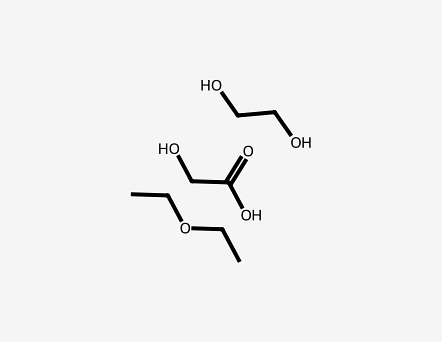 CCOCC.O=C(O)CO.OCCO